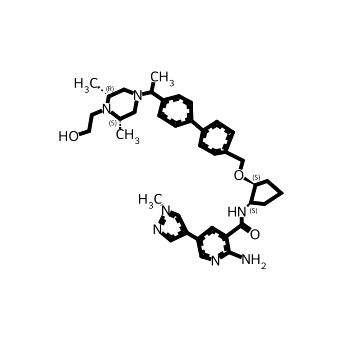 CC(c1ccc(-c2ccc(CO[C@H]3CCC[C@@H]3NC(=O)c3cc(-c4cnn(C)c4)cnc3N)cc2)cc1)N1C[C@@H](C)N(CCO)[C@@H](C)C1